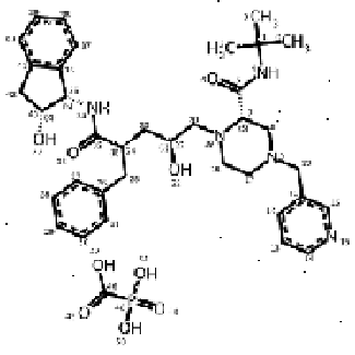 CC(C)(C)NC(=O)[C@@H]1CN(Cc2cccnc2)CCN1C[C@@H](O)C[C@@H](Cc1ccccc1)C(=O)N[C@H]1c2ccccc2C[C@H]1O.O=C(O)P(=O)(O)O